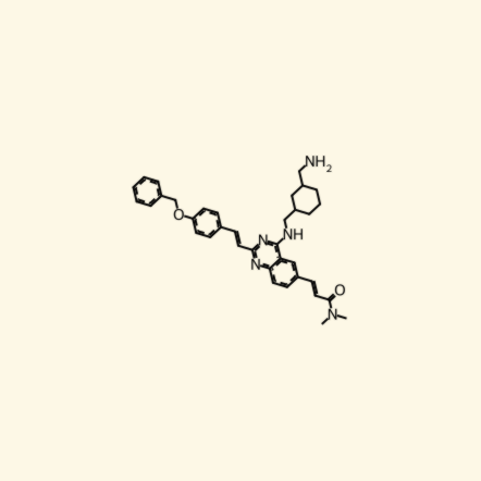 CN(C)C(=O)C=Cc1ccc2nc(C=Cc3ccc(OCc4ccccc4)cc3)nc(NCC3CCCC(CN)C3)c2c1